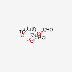 O=C[O-].O=C[O-].O=C[O-].O=C[O-].[Ti+4]